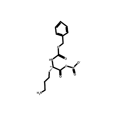 NCCCC[C@H](NC(=O)OCc1ccccc1)C(=O)O[N+](=O)[O-]